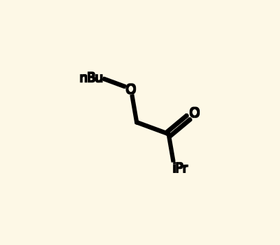 CCCCOCC(=O)C(C)C